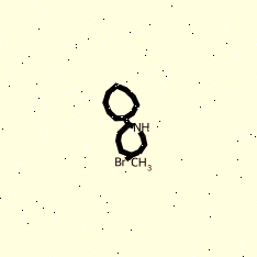 CC1(Br)CCCNC(C2CCCCCCCCC2)CCC1